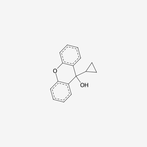 OC1(C2CC2)c2ccccc2Oc2ccccc21